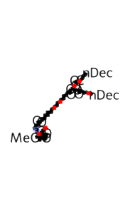 C=CCOc1c(C/C=C(\C)CCC(=O)OCCCCCCCCCCCCCCCCCC(=O)OC(COC(=O)CCCCCCCCCCCCCCC)COC(=O)CCCCCCCCCCCCCCC)c(OC)c(C)c2c1C(=O)OC2